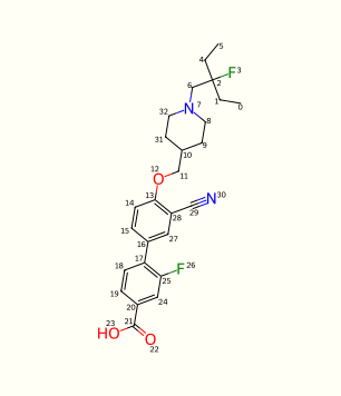 CCC(F)(CC)CN1CCC(COc2ccc(-c3ccc(C(=O)O)cc3F)cc2C#N)CC1